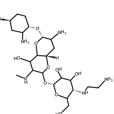 CNC1C(O[C@H]2OC(CO)[C@@H](NCCN)C(O)C2O)O[C@H]2CC(N)[C@@H](O[C@H]3CC[C@H](N)CC3N)OC2C1O